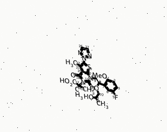 COc1ccc(F)cc1[C@H](Cn1c(=O)n(C(C)(C)C(=O)O)c(=O)c2c(C)c(-n3nccn3)sc21)OC[C@@H](C)O